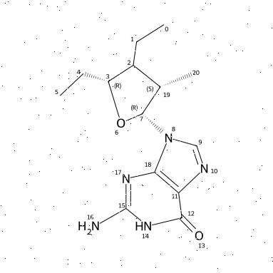 CCC1[C@@H](CC)O[C@@H](n2cnc3c(=O)[nH]c(N)nc32)[C@H]1C